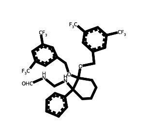 O=CNCNC1(c2ccccc2)CCCCC1(OCc1cc(C(F)(F)F)cc(C(F)(F)F)c1)OCc1cc(C(F)(F)F)cc(C(F)(F)F)c1